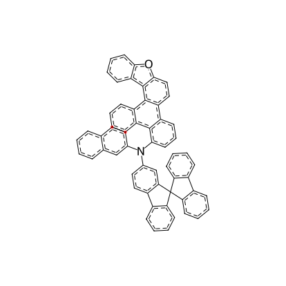 c1ccc2c(c1)-c1ccccc1C21c2ccccc2-c2ccc(N(c3ccc4ccccc4c3)c3cccc4c5ccc6oc7ccccc7c6c5c5ccccc5c34)cc21